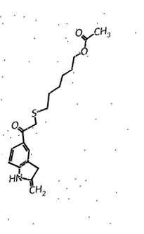 C=C1Cc2cc(C(=O)CSCCCCCCOC(C)=O)ccc2N1